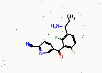 CC[C@@H](N)c1ccc(Cl)c(C(=O)c2ccc(C#N)nc2)c1F